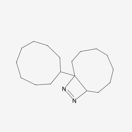 C1CCCCC(C23CCCCCCCC2N=N3)CCC1